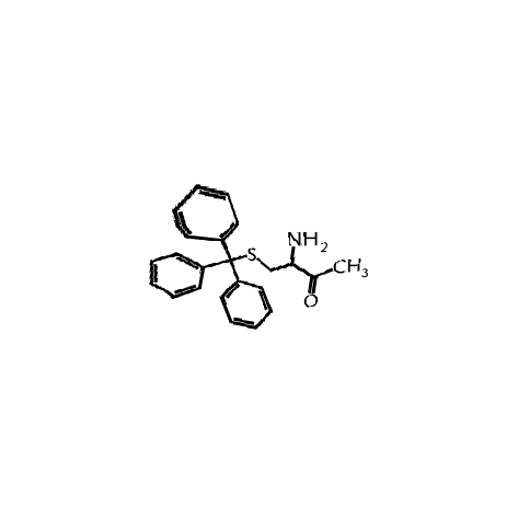 CC(=O)C(N)CSC(c1ccccc1)(c1ccccc1)c1ccccc1